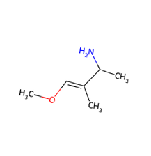 CO/C=C(\C)C(C)N